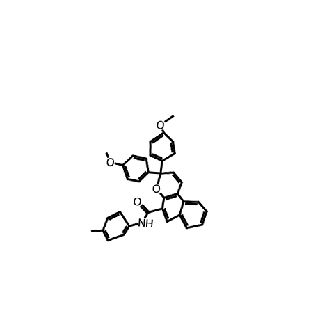 COc1ccc(C2(c3ccc(OC)cc3)C=Cc3c(c(C(=O)Nc4ccc(C)cc4)cc4ccccc34)O2)cc1